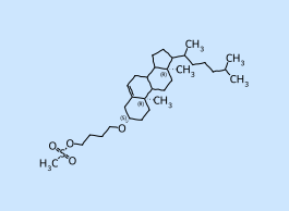 CC(C)CCCC(C)C1CCC2C3CC=C4C[C@@H](OCCCCOS(C)(=O)=O)CC[C@]4(C)C3CC[C@]12C